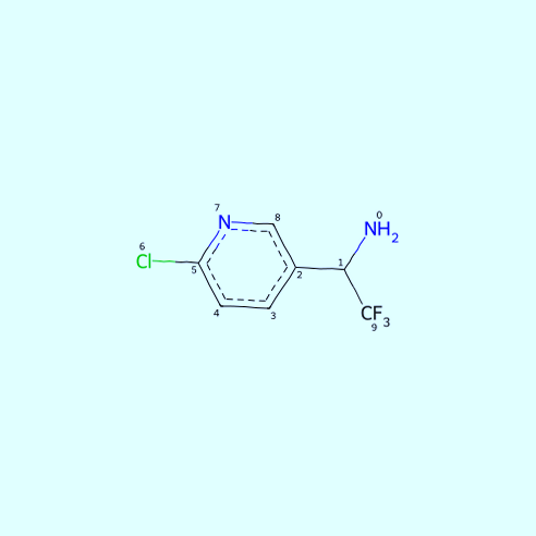 NC(c1ccc(Cl)nc1)C(F)(F)F